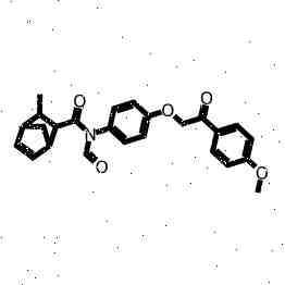 COc1ccc(C(=O)COc2ccc(N(C=O)C(=O)C3C4C=CC(C4)C3C)cc2)cc1